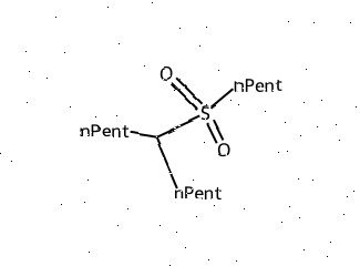 CCCCCC(CCCCC)S(=O)(=O)CCCCC